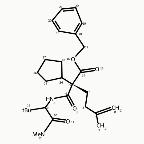 C=C(C)CC[C@](C(=O)NC(C(=O)NC)C(C)(C)C)(C(=O)OCc1ccccc1)C1CCCC1